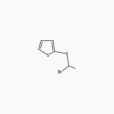 CC(Br)Sc1cccs1